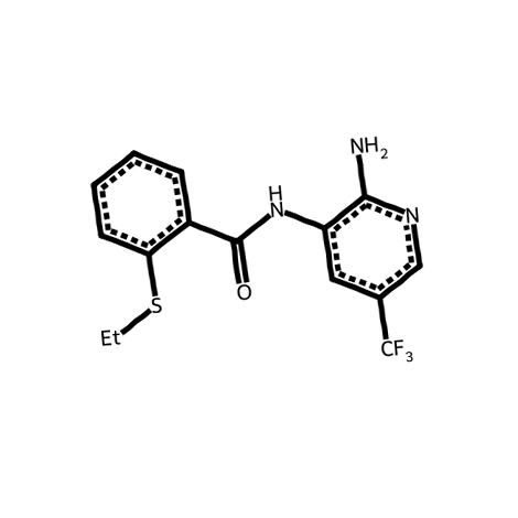 CCSc1ccccc1C(=O)Nc1cc(C(F)(F)F)cnc1N